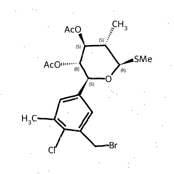 CS[C@H]1O[C@@H](c2cc(C)c(Cl)c(CBr)c2)[C@H](OC(C)=O)[C@@H](OC(C)=O)[C@@H]1C